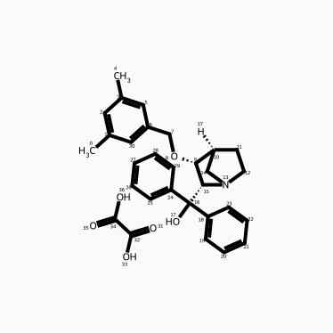 Cc1cc(C)cc(CO[C@@H]2[C@H]3CCN(C3)[C@@H]2C(O)(c2ccccc2)c2ccccc2)c1.O=C(O)C(=O)O